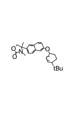 CN1C(=O)OCC1(C)c1ccc2cc(OC3CCC(C(C)(C)C)CC3)ccc2c1